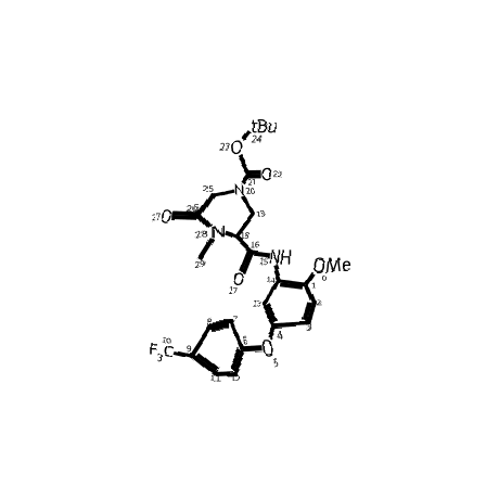 COc1ccc(Oc2ccc(C(F)(F)F)cc2)cc1NC(=O)C1CN(C(=O)OC(C)(C)C)CC(=O)N1C